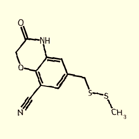 CSSCc1cc(C#N)c2c(c1)NC(=O)CO2